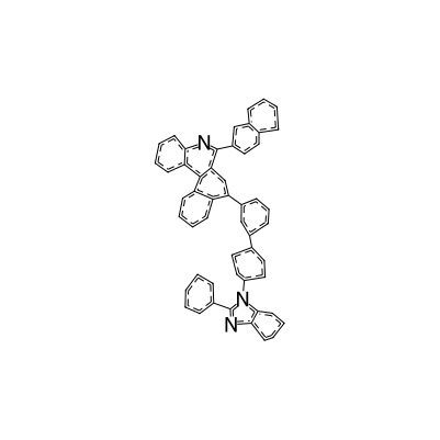 c1ccc(-c2nc3ccccc3n2-c2ccc(-c3cccc(-c4cc5c(-c6ccc7ccccc7c6)nc6ccccc6c5c5ccccc45)c3)cc2)cc1